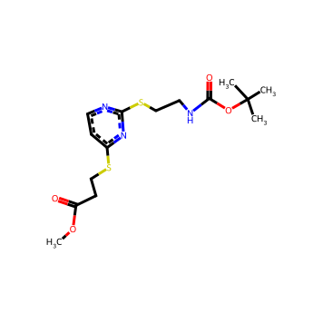 COC(=O)CCSc1ccnc(SCCNC(=O)OC(C)(C)C)n1